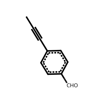 CC#Cc1ccc(C=O)cc1